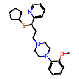 COc1ccccc1N1CCN(CCC(SC2CCCC2)c2ccccn2)CC1